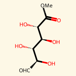 COC(=O)[C@@H](O)[C@@H](O)[C@@H](O)[C@@H](O)C=O